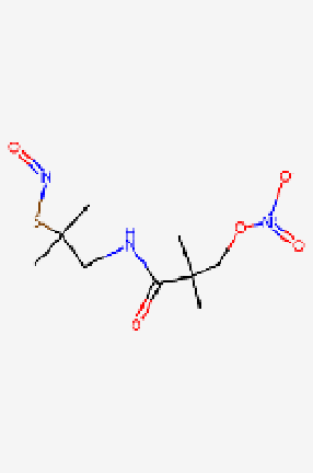 CC(C)(CNC(=O)C(C)(C)CO[N+](=O)[O-])SN=O